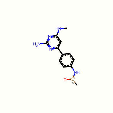 CNc1cc(-c2ccc(N[S@@+](C)[O-])cc2)nc(N)n1